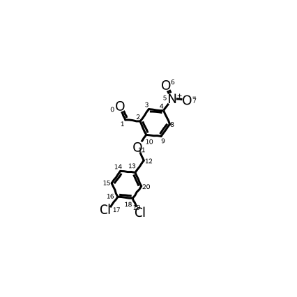 O=Cc1cc([N+](=O)[O-])ccc1OCc1ccc(Cl)c(Cl)c1